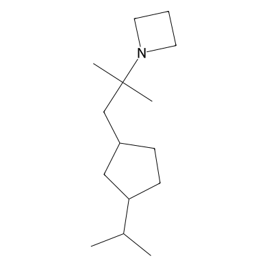 CC(C)C1CCC(CC(C)(C)N2CCC2)C1